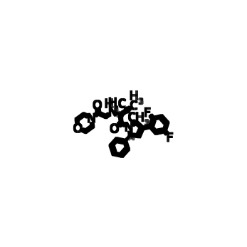 CC(C)(C)[C@H](NCC(=O)N1CCOCC1)C(=O)N1CC(c2cc(F)ccc2F)=C[C@H]1c1ccccc1